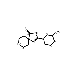 CC1CCCC(C2=NC3(CCNCC3)C(=O)N2)C1